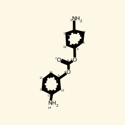 Nc1ccc(OC(=O)Oc2cccc(N)c2)cc1